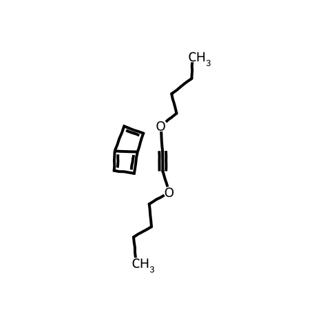 CCCCOC#COCCCC.c1cc2ccc1-2